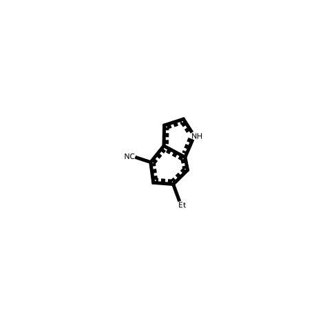 CCc1cc(C#N)c2cc[nH]c2c1